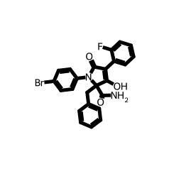 NC(=O)C1(Cc2ccccc2)C(O)=C(c2ccccc2F)C(=O)N1c1ccc(Br)cc1